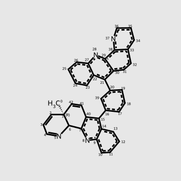 C[C@@]12C=CC=NC1c1nc3ccccc3c(-c3cccc(-c4c5ccccc5nc5c4ccc4cccnc45)c3)c1C=C2